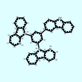 c1ccc2c(c1)oc1ccc(-c3cc(-n4c5ccccc5c5cccnc54)cc(-n4c5ccccc5c5cccnc54)c3)cc12